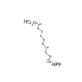 CC(C)SCCCCCCCCCC(=O)O